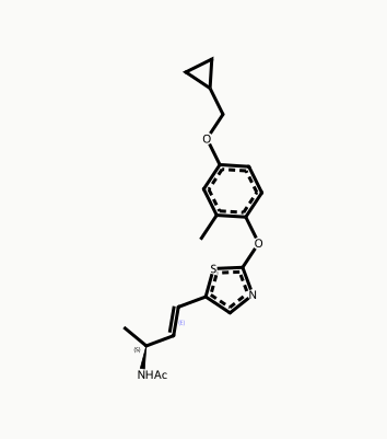 CC(=O)N[C@@H](C)/C=C/c1cnc(Oc2ccc(OCC3CC3)cc2C)s1